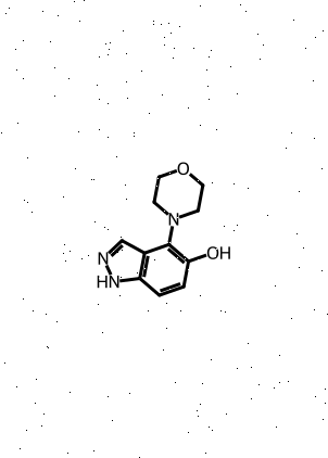 Oc1ccc2[nH]ncc2c1N1CCOCC1